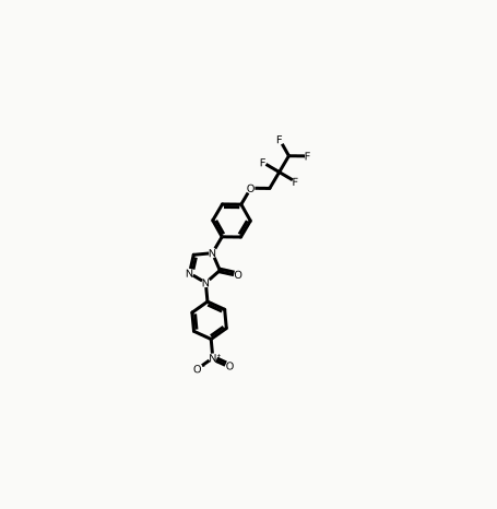 O=c1n(-c2ccc(OCC(F)(F)C(F)F)cc2)cnn1-c1ccc([N+](=O)[O-])cc1